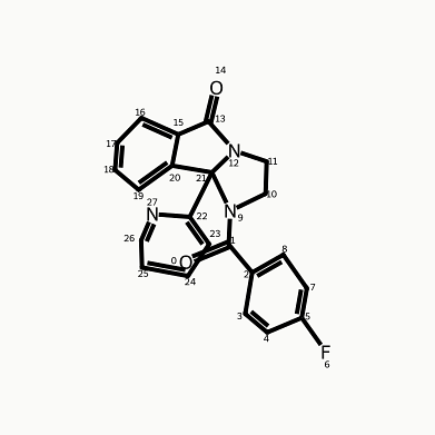 O=C(c1ccc(F)cc1)N1CCN2C(=O)c3ccccc3C12c1ccccn1